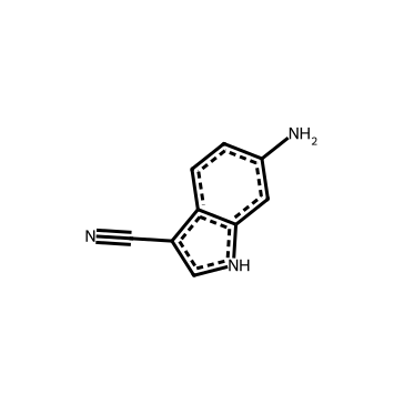 N#Cc1c[nH]c2cc(N)ccc12